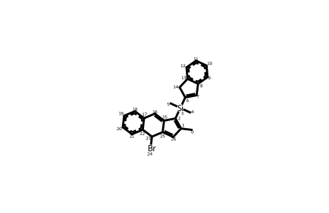 CC1=C([Si](C)(C)C2=Cc3ccccc3C2)C2=Cc3ccccc3C(Br)C2=C1